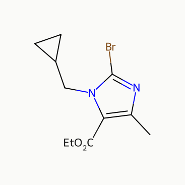 CCOC(=O)c1c(C)nc(Br)n1CC1CC1